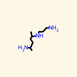 CC(N)CCC(C)NCCCN